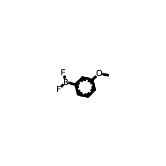 COc1cccc(B(F)F)c1